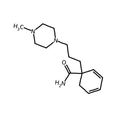 CN1CCN(CCCC2(C(N)=O)C=CC=CC2)CC1